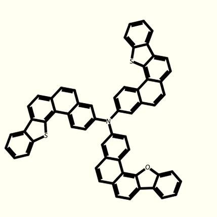 c1ccc2c(c1)oc1c2ccc2ccc3cc(N(c4ccc5c(ccc6ccc7c8ccccc8sc7c65)c4)c4ccc5c(ccc6ccc7c8ccccc8sc7c65)c4)ccc3c21